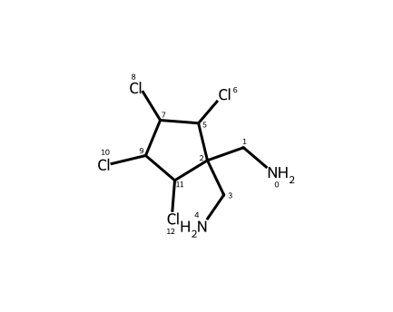 NCC1(CN)C(Cl)C(Cl)C(Cl)C1Cl